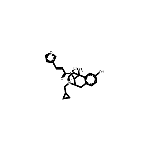 CN(C(=O)/C=C/c1ccoc1)[C@@H]1C2Cc3ccc(O)cc3C1(C)CCN2CC1CC1